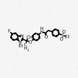 CCn1c(C(C)(C)Oc2ccc(NC(=O)Cc3ccc(S(=O)(=O)CC)cc3)cc2)nc2cc(F)ccc21